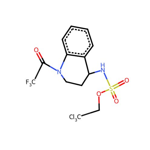 O=C(N1CCC(NS(=O)(=O)OCC(Cl)(Cl)Cl)c2ccccc21)C(F)(F)F